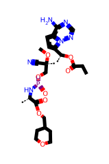 CCC(=O)O[C@H](C[C@@](C#N)(CO[PH](=O)N[C@@H](C)C(=O)OCC1CCOCC1)OC)c1ccc2c(N)ncnn12